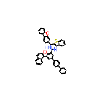 c1ccc(-c2ccc(-c3cc(C4=Nc5c(sc6ccccc56)C(c5ccc6c(c5)oc5ccccc56)N4)c4oc5ccc6ccccc6c5c4c3)cc2)cc1